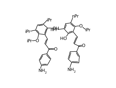 CC(C)Oc1c(C(C)C)cc(C(C)C)c(O)c1/C=C/C(=O)c1ccc(N)cc1.CCCc1cc(CCC)c(OC(C)C)c(/C=C/C(=O)c2ccc(N)cc2)c1O